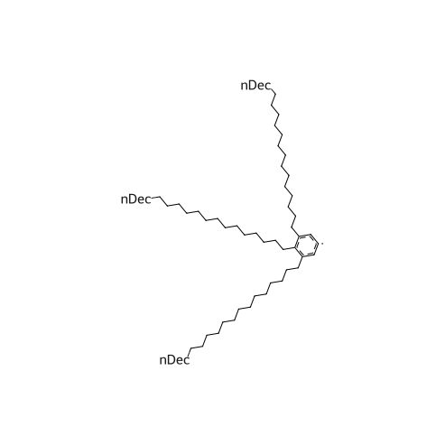 CCCCCCCCCCCCCCCCCCCCCCCCc1c[c]cc(CCCCCCCCCCCCCCCCCCCCCCCC)c1CCCCCCCCCCCCCCCCCCCCCCCC